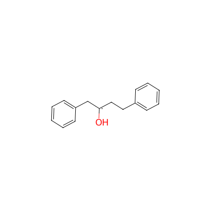 O[C](CCc1ccccc1)Cc1ccccc1